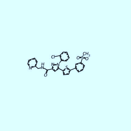 CS(=O)(=O)c1cccc(-c2ccc(-c3cc(C(=O)NCc4ccccn4)nn3-c3ccccc3Cl)s2)c1